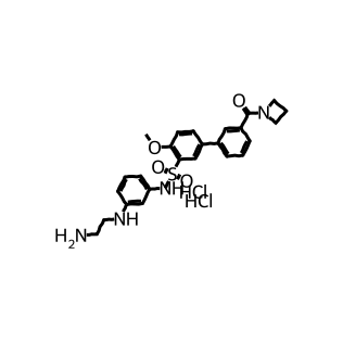 COc1ccc(-c2cccc(C(=O)N3CCC3)c2)cc1S(=O)(=O)Nc1cccc(NCCN)c1.Cl.Cl